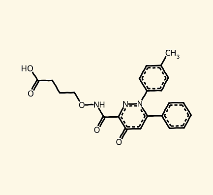 Cc1ccc(-n2nc(C(=O)NOCCCC(=O)O)c(=O)cc2-c2ccccc2)cc1